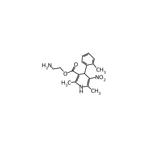 CC1=C(C(=O)OCCN)C(c2ccccc2C)C([N+](=O)[O-])=C(C)N1